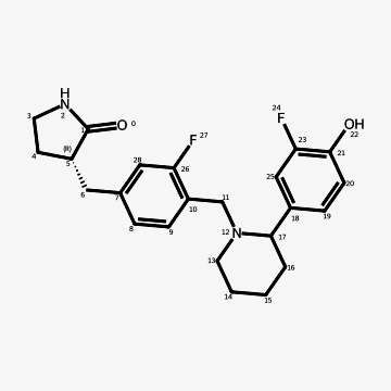 O=C1NCC[C@H]1Cc1ccc(CN2CCCCC2c2ccc(O)c(F)c2)c(F)c1